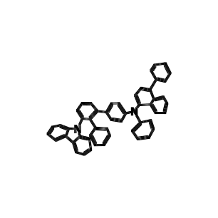 c1ccc(-c2c(-c3ccc(N(c4ccccc4)c4ccc(-c5ccccc5)c5ccccc45)cc3)cccc2-n2c3ccccc3c3ccccc32)cc1